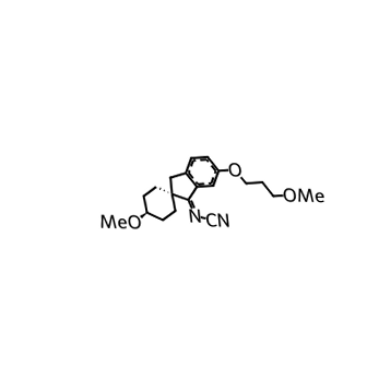 COCCCOc1ccc2c(c1)/C(=N\C#N)[C@]1(CC[C@H](OC)CC1)C2